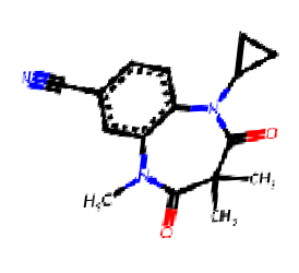 CN1C(=O)C(C)(C)C(=O)N(C2CC2)c2ccc(C#N)cc21